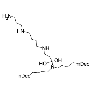 CCCCCCCCCCCCCCN(CCCCCCCCCCCCCC)C(O)(O)CCNCCCCNCCCN